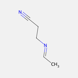 CC=NCCC#N